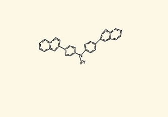 CC(C)N(c1ccc(-c2ccc3ccccc3c2)cc1)c1ccc(-c2ccc3ccccc3c2)cc1